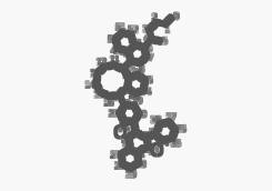 C=C/C=C\C(=C)c1ccc(-c2ccccccc(-c3ccc4c(c3)oc3c5ccccc5c5oc6ccccc6c5c43)c3ccccc23)c2ccccc12